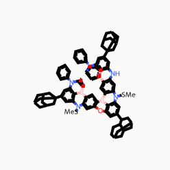 CSN1c2cc3c(cc2B2c4cc5c(cc4Oc4cc(C6CC7CC8CCC6C(C8)C7)cc1c42)N(SC)c1cc(C24CC6CC(CC(C6)C2)C4)cc2c1B5c1ccccc1N2c1ccccc1)B1c2ccccc2N(c2ccccc2)c2cc(C45CC6CC(CC(C6)C4)C5)cc(c21)N3